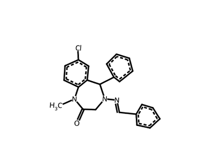 CN1C(=O)CN(/N=C/c2ccccc2)C(c2ccccc2)c2cc(Cl)ccc21